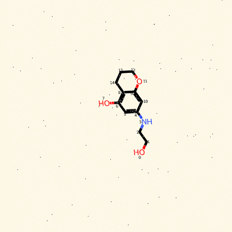 OCCNc1cc(O)c2c(c1)OCCC2